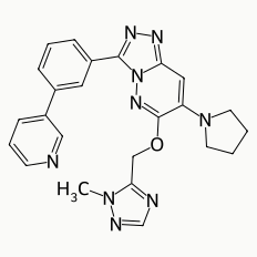 Cn1ncnc1COc1nn2c(-c3cccc(-c4cccnc4)c3)nnc2cc1N1CCCC1